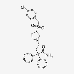 NC(=O)C(CCN1CCC(S(=O)(=O)Cc2ccc(Cl)cc2)C1)(c1ccccc1)c1ccccc1